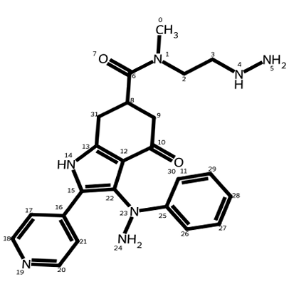 CN(CCNN)C(=O)C1CC(=O)c2c([nH]c(-c3ccncc3)c2N(N)c2ccccc2)C1